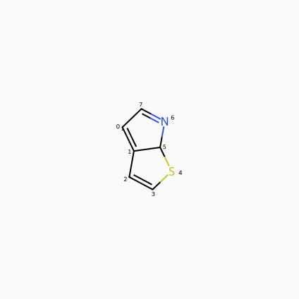 [C]1=C2C=CSC2N=C1